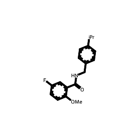 COc1ccc(F)cc1C(=O)NCc1ccc(C(C)C)cc1